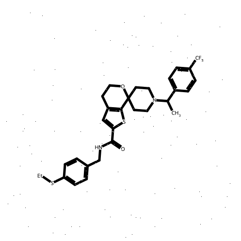 CCSc1ccc(CNC(=O)c2cc3c(s2)C2(CCN(C(C)c4ccc(C(F)(F)F)cc4)CC2)OCC3)cc1